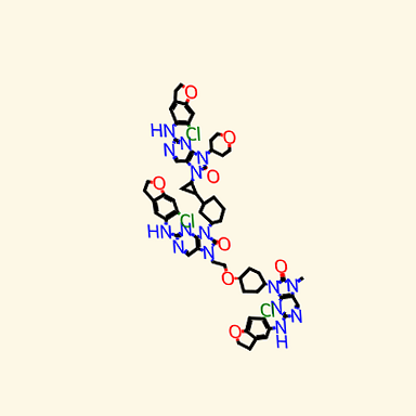 Cn1c(=O)n([C@H]2CC[C@H](OCCn3c(=O)n(C4CCCC(C5CC5n5c(=O)n(C6CCOCC6)c6nc(Nc7cc8c(cc7Cl)OCC8)ncc65)C4)c4nc(Nc5cc6c(cc5Cl)OCC6)ncc43)CC2)c2nc(Nc3cc4c(cc3Cl)OCC4)ncc21